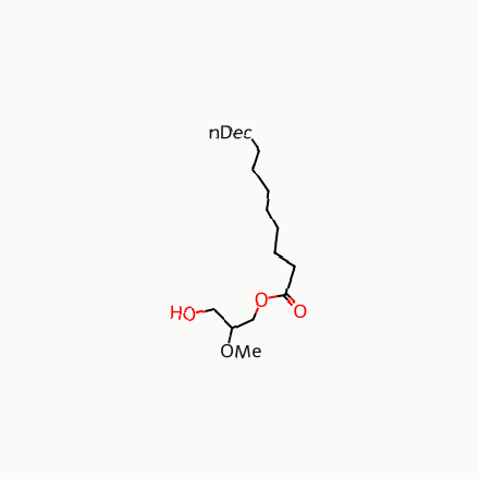 CCCCCCCCCCCCCCCCCC(=O)OCC(CO)OC